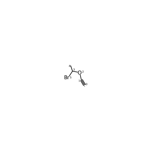 [C]#COC(C)Br